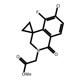 COC(=O)CN1CC2(CC2)c2c(ccc(Cl)c2F)C1=O